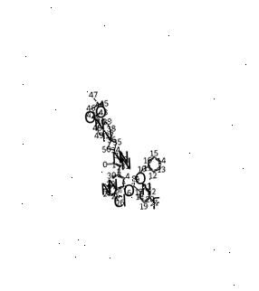 Cc1c(-c2cc(O[C@H](COCc3ccccc3)c3ccc(F)cn3)c3c(Cl)cnn3c2)nnn1C1CC(N2CCN(C(=O)OC(C)(C)C)CC2)C1